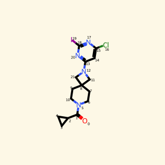 O=C(C1CC1)N1CCC2(CC1)CN(c1cc(Cl)nc(I)n1)C2